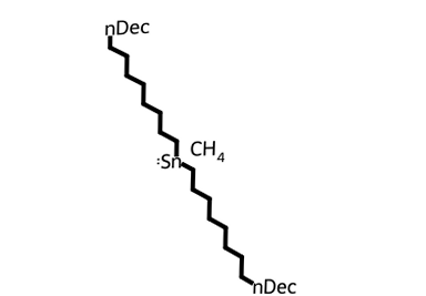 C.CCCCCCCCCCCCCCCCC[CH2][Sn][CH2]CCCCCCCCCCCCCCCCC